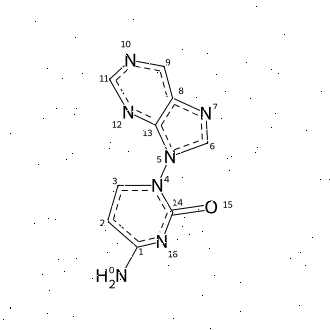 Nc1ccn(-n2cnc3cncnc32)c(=O)n1